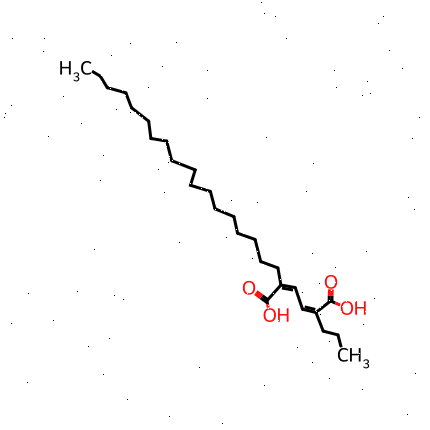 CCCCCCCCCCCCCCCCCCC(=CC=C(CCC)C(=O)O)C(=O)O